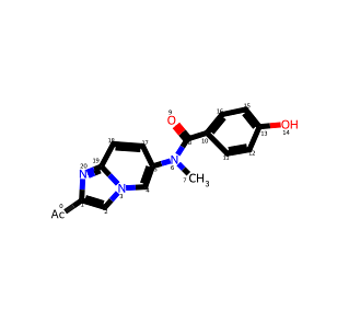 CC(=O)c1cn2cc(N(C)C(=O)c3ccc(O)cc3)ccc2n1